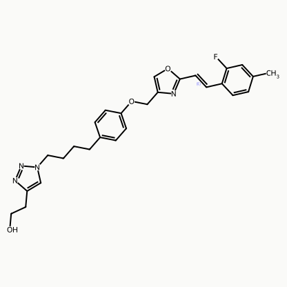 Cc1ccc(/C=C/c2nc(COc3ccc(CCCCn4cc(CCO)nn4)cc3)co2)c(F)c1